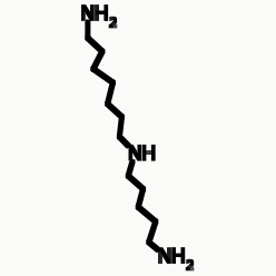 NCCCCCCCNCCCCCN